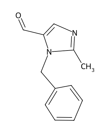 Cc1ncc(C=O)n1Cc1ccccc1